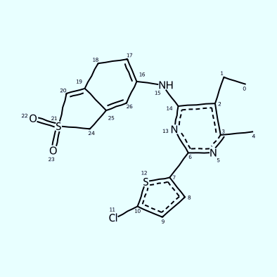 CCc1c(C)nc(-c2ccc(Cl)s2)nc1NC1=CCC2=CS(=O)(=O)CC2=C1